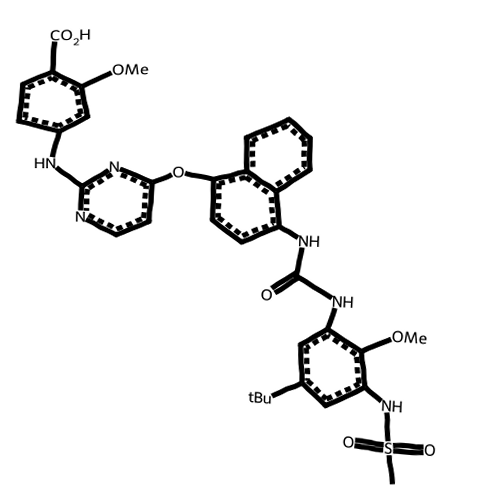 COc1cc(Nc2nccc(Oc3ccc(NC(=O)Nc4cc(C(C)(C)C)cc(NS(C)(=O)=O)c4OC)c4ccccc34)n2)ccc1C(=O)O